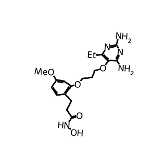 CCc1nc(N)nc(N)c1OCCCOc1cc(OC)ccc1CCC(=O)NO